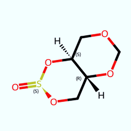 O=[S@@]1OC[C@H]2OCOC[C@@H]2O1